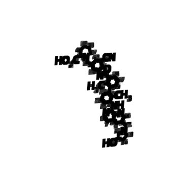 Cc1c(Nc2nccc3cc(CN4CC[C@H](O)C4)cnc23)cccc1-c1cccc(-c2nc3cc(CN4CCCC[C@H]4C(=O)O)cc(C#N)c3o2)c1C